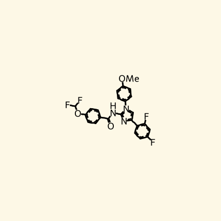 COc1ccc(-n2cc(-c3ccc(F)cc3F)nc2NC(=O)c2ccc(OC(F)F)cc2)cc1